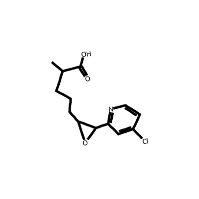 CC(CCCC1OC1c1cc(Cl)ccn1)C(=O)O